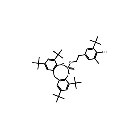 Cc1cc(CCOP2(=O)Oc3c(cc(C(C)(C)C)cc3C(C)(C)C)Cc3cc(C(C)(C)C)cc(C(C)(C)C)c3O2)cc(C(C)(C)C)c1O